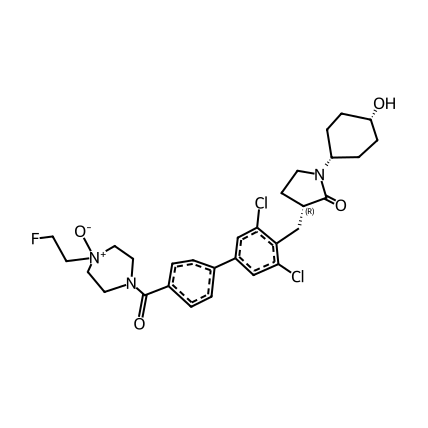 O=C(c1ccc(-c2cc(Cl)c(C[C@@H]3CCN([C@H]4CC[C@@H](O)CC4)C3=O)c(Cl)c2)cc1)N1CC[N+]([O-])(CCF)CC1